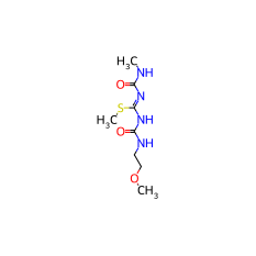 CNC(=O)N=C(NC(=O)NCCOC)SC